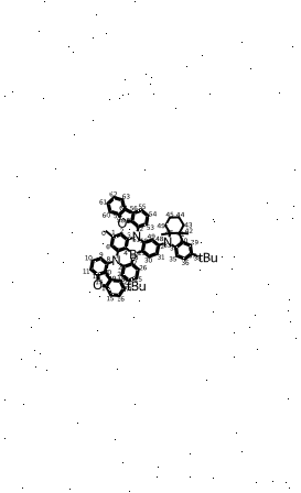 Cc1cc2c3c(c1)N(c1cccc4oc5ccccc5c14)c1cc(C(C)(C)C)ccc1B3c1ccc(N3c4ccc(C(C)(C)C)cc4C4(C)CCCCC34C)cc1N2c1cccc2c1oc1ccccc12